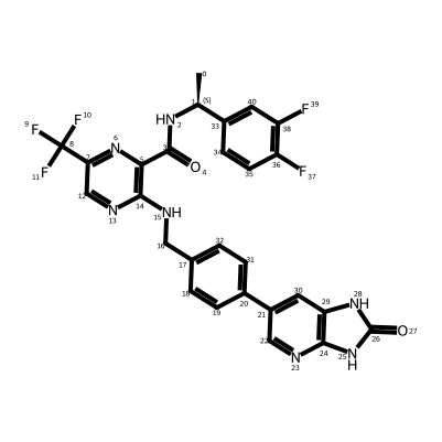 C[C@H](NC(=O)c1nc(C(F)(F)F)cnc1NCc1ccc(-c2cnc3[nH]c(=O)[nH]c3c2)cc1)c1ccc(F)c(F)c1